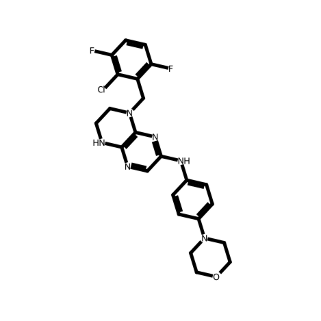 Fc1ccc(F)c(CN2CCNc3ncc(Nc4ccc(N5CCOCC5)cc4)nc32)c1Cl